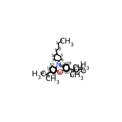 CCCCC1CCC(N2c3ccc(C(C)C)cc3Oc3cc(C(C)(C)CCC)ccc32)CC1